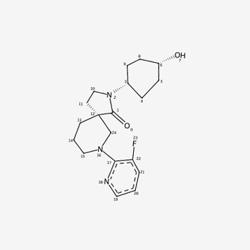 O=C1N([C@H]2CC[C@@H](O)CC2)CC[C@]12CCCN(c1ncccc1F)C2